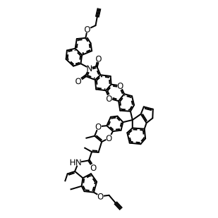 C#CCOc1ccc(/C(=C\C)NC(=O)/C(C)=C/C2=C(C)Oc3ccc(C4(c5ccc6oc7cc8c(=O)n(-c9cccc%10cc(OCC#C)ccc9%10)c(=O)c8cc7oc6c5)C5=C(CC=C5)c5ccccc54)cc3O2)c(C)c1